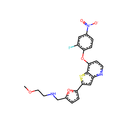 COCCNCc1ccc(-c2cc3nccc(Oc4ccc([N+](=O)[O-])cc4F)c3s2)o1